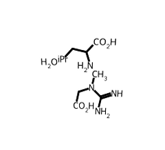 CC(C)CC(N)C(=O)O.CN(CC(=O)O)C(=N)N.O